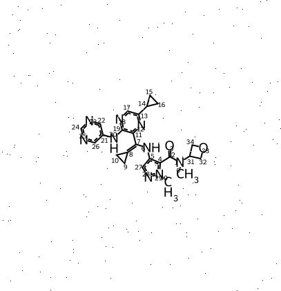 CN(C(=O)c1c(NC(=C2CC2)c2nc(C3CC3)cnc2Nc2cncnc2)cnn1C)C1COC1